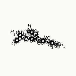 CC1(C)CCC(CN2CCN(c3ccc(C(=O)NS(=O)(=O)c4ccc(NCC5CCC(N=S(C)(C)=O)CC5)c([N+](=O)[O-])c4)c(N4CCCOc5nc6[nH]ccc6cc54)c3)CC2)=C(c2ccc(Cl)cc2)C1